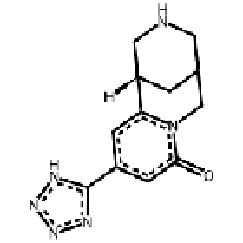 O=c1cc(-c2nnn[nH]2)cc2n1CC1CNC[C@@H]2C1